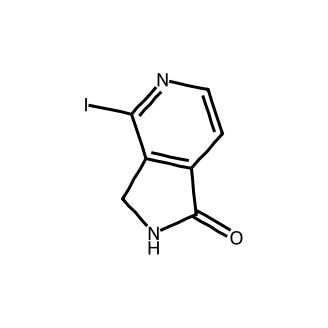 O=C1NCc2c1ccnc2I